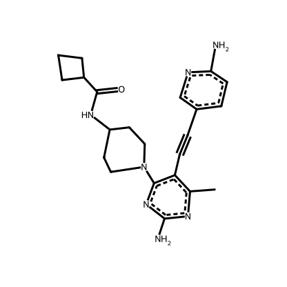 Cc1nc(N)nc(N2CCC(NC(=O)C3CCC3)CC2)c1C#Cc1ccc(N)nc1